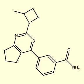 CC1CCN1c1nc2c(c(-c3cccc(C(N)=O)c3)n1)CCC2